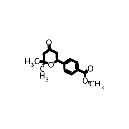 COC(=O)c1ccc(C2CC(=O)CC(C)(C)O2)cc1